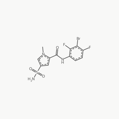 Cn1cc(S(N)(=O)=O)cc1C(=O)Nc1ccc(F)c(Br)c1F